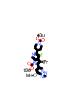 COc1cc(-c2c(C(C)C)c3c(F)c(C4CCN(C(=O)OC(C)(C)C)CC4)ncc3n2C(=O)OC(C)(C)C)cn2ncnc12